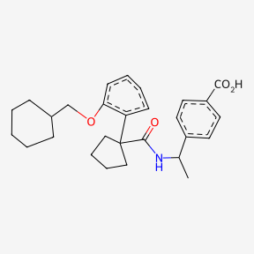 CC(NC(=O)C1(c2ccccc2OCC2CCCCC2)CCCC1)c1ccc(C(=O)O)cc1